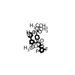 COc1ccc(-c2cccnc2)cc1CN(C(=O)c1sc2c(F)ccc(F)c2c1Cl)[C@H]1CC[C@H](N(C)C(=O)OC(C)(C)C)CC1